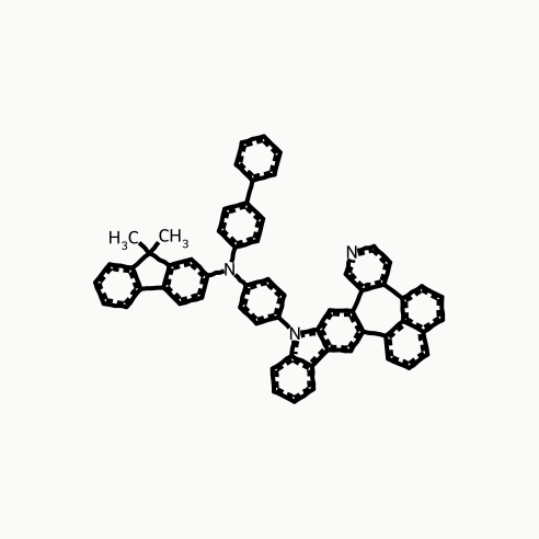 CC1(C)c2ccccc2-c2ccc(N(c3ccc(-c4ccccc4)cc3)c3ccc(-n4c5ccccc5c5cc6c(cc54)-c4cnccc4-c4cccc5cccc-6c45)cc3)cc21